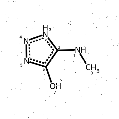 CNc1[nH]nnc1O